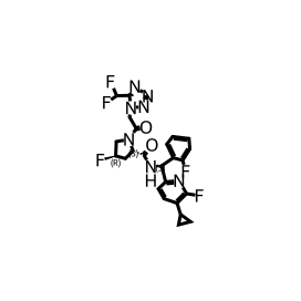 O=C(N[C@H](c1ccc(C2CC2)c(F)n1)c1ccccc1F)[C@@H]1C[C@@H](F)CN1C(=O)Cn1nnnc1C(F)F